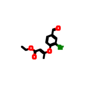 CCOC(=O)C=C(C)Oc1ccc(C=O)cc1Br